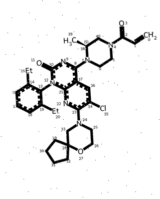 C=CC(=O)N1CCN(c2nc(=O)n(-c3c(CC)cccc3CC)c3nc(N4CCOC5(CCCC5)C4)c(Cl)cc23)[C@@H](C)C1